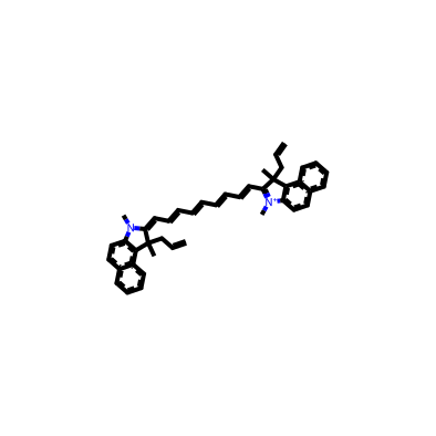 C=CCC1(C)C(/C=C/C=C/C=C/C=C/C=C2/N(C)c3ccc4ccccc4c3C2(C)CC=C)=[N+](C)c2ccc3ccccc3c21